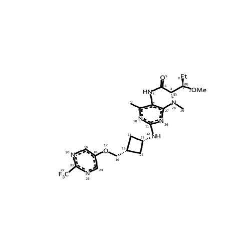 CC[C@@H](OC)[C@H]1C(=O)Nc2c(C)nc(N[C@H]3C[C@@H](COc4cnc(C(F)(F)F)nc4)C3)nc2N1C